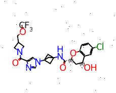 O=C(NC12CC(n3cnc(C(=O)N4CC(COC(F)(F)F)C4)c3)(C1)C2)[C@H]1C[C@@H](O)c2cc(Cl)ccc2O1